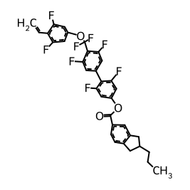 C=Cc1c(F)cc(OC(F)(F)c2c(F)cc(-c3c(F)cc(OC(=O)c4ccc5c(c4)CC(CCC)C5)cc3F)cc2F)cc1F